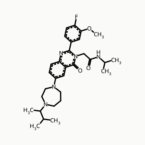 COc1cc(-c2nc3ccc(N4CCCN(C(C)C(C)C)CC4)cc3c(=O)n2CC(=O)NC(C)C)ccc1F